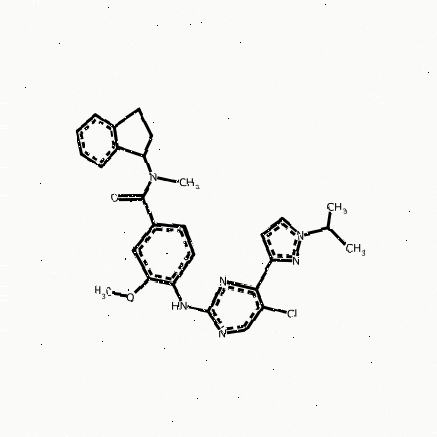 COc1cc(C(=O)N(C)C2CCc3ccccc32)ccc1Nc1ncc(Cl)c(-c2ccn(C(C)C)n2)n1